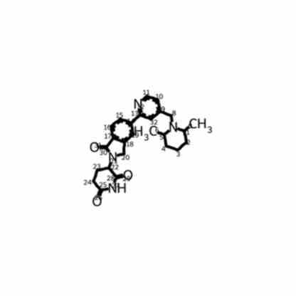 CC1CCCC(C)N1Cc1ccnc(-c2ccc3c(c2)CN(C2CCC(=O)NC2=O)C3=O)c1